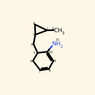 CC1CC1CC1CC=CC=C1N